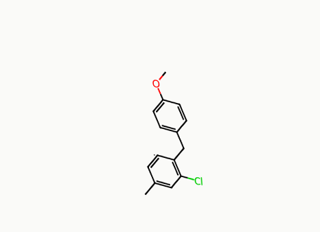 COc1ccc(Cc2[c]cc(C)cc2Cl)cc1